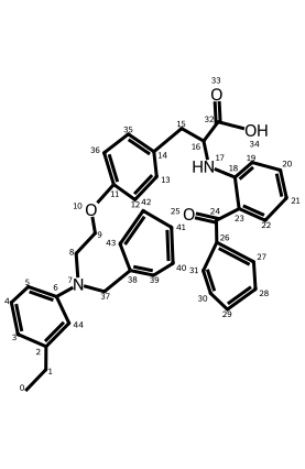 CCc1cccc(N(CCOc2ccc(CC(Nc3ccccc3C(=O)c3ccccc3)C(=O)O)cc2)Cc2ccccc2)c1